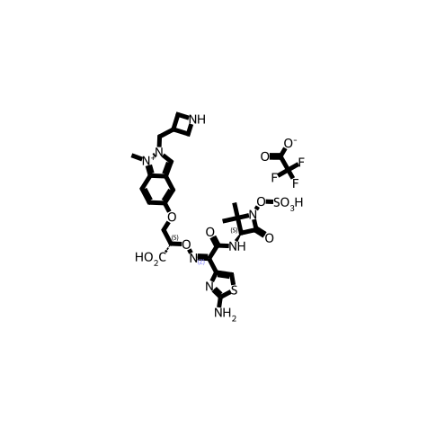 C[n+]1c2ccc(OC[C@H](O/N=C(\C(=O)N[C@@H]3C(=O)N(OS(=O)(=O)O)C3(C)C)c3csc(N)n3)C(=O)O)cc2cn1CC1CNC1.O=C([O-])C(F)(F)F